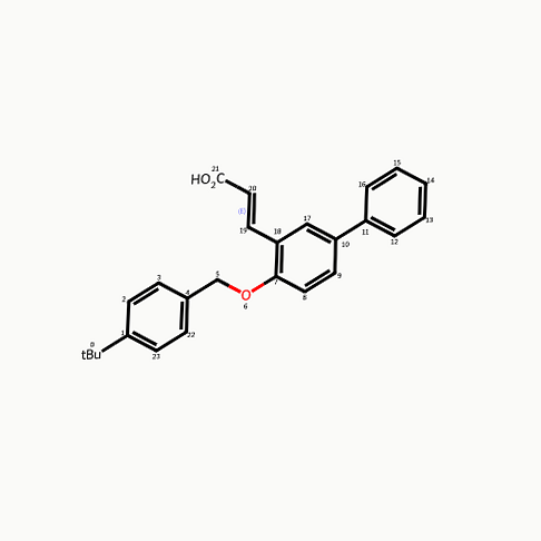 CC(C)(C)c1ccc(COc2ccc(-c3ccccc3)cc2/C=C/C(=O)O)cc1